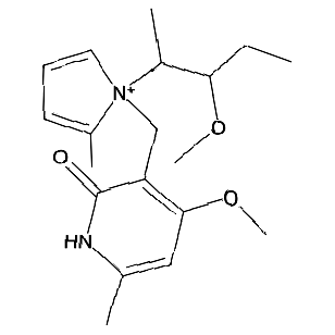 CCC(OC)C(C)[N+]1(Cc2c(OC)cc(C)[nH]c2=O)C=CC=C1C